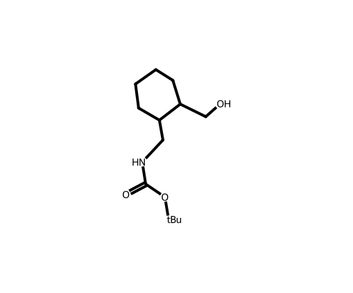 CC(C)(C)OC(=O)NCC1CCCCC1CO